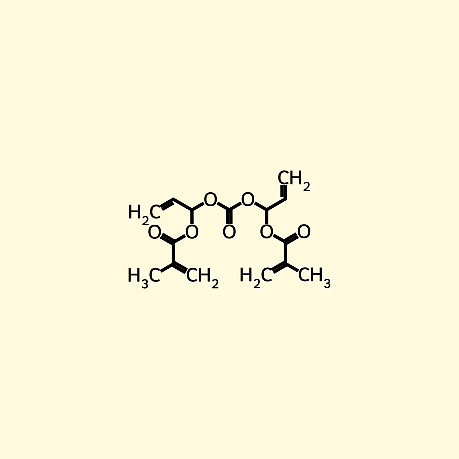 C=CC(OC(=O)OC(C=C)OC(=O)C(=C)C)OC(=O)C(=C)C